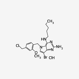 CCCCCNc1nc(N)nc2c(Br)cn(Cc3ccc(CCl)cc3OC)c12.Cl